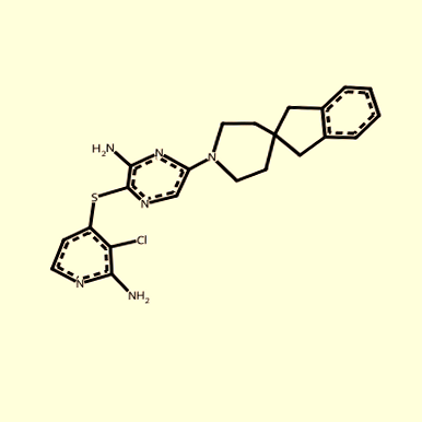 Nc1nc(N2CCC3(CC2)Cc2ccccc2C3)cnc1Sc1ccnc(N)c1Cl